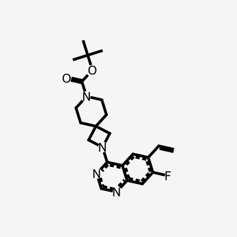 C=Cc1cc2c(N3CC4(CCN(C(=O)OC(C)(C)C)CC4)C3)ncnc2cc1F